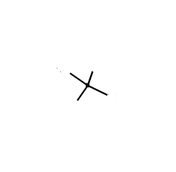 CC(C)C(F)(F)C#N